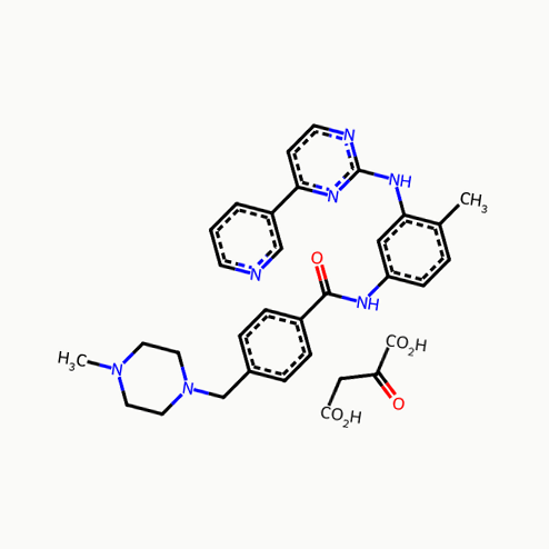 Cc1ccc(NC(=O)c2ccc(CN3CCN(C)CC3)cc2)cc1Nc1nccc(-c2cccnc2)n1.O=C(O)CC(=O)C(=O)O